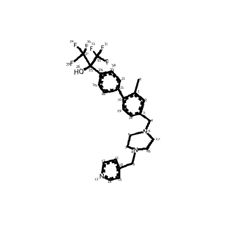 Cc1cc(CN2CCN(Cc3ccncc3)CC2)ccc1-c1ccc(C(O)(C(F)(F)F)C(F)(F)F)cc1